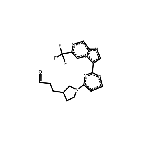 O=CCCC1CCN(c2ccnc(-c3cnc4cnc(C(F)(F)F)cn34)n2)C1